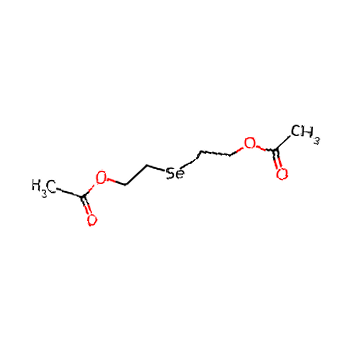 CC(=O)OCC[Se]CCOC(C)=O